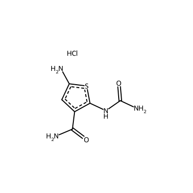 Cl.NC(=O)Nc1sc(N)cc1C(N)=O